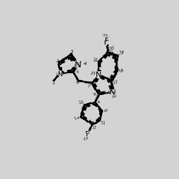 Cn1ccnc1Cc1c(-c2ccc(F)cc2)nc2ccc(F)cn12